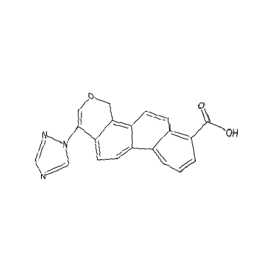 O=C(O)c1cccc2c1ccc1c3c(ccc12)C(n1cncn1)=COC3